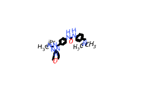 CC(C)N(C)c1nc(-c2ccc(NC(=O)Nc3ccc(CN(C)C)cc3)cc2)nc(N2C3CCC2COC3)n1